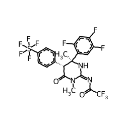 CN1C(=O)[C@H](c2ccc(S(F)(F)(F)(F)F)cc2)[C@@](C)(c2cc(F)c(F)cc2F)N/C1=N/C(=O)C(F)(F)F